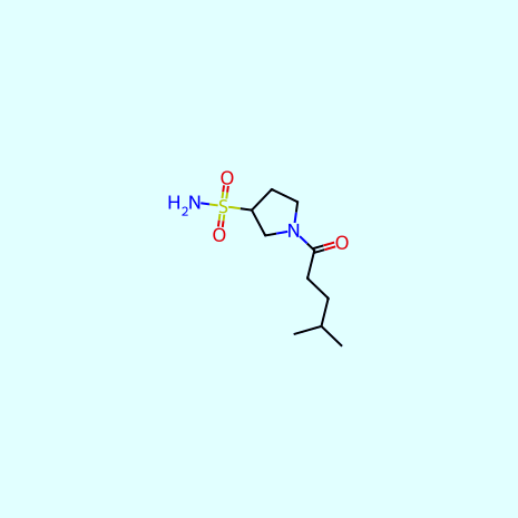 CC(C)CCC(=O)N1CCC(S(N)(=O)=O)C1